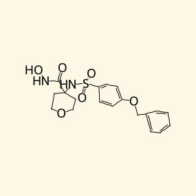 O=C(NO)C1(NS(=O)(=O)c2ccc(OCc3ccccc3)cc2)CCOCC1